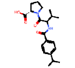 CC(C)c1ccc(C(=O)NC(C(=O)N2CCC[C@H]2C(=O)O)C(C)C)cc1